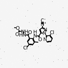 [C-]#[N+]c1cc(C(=O)Nc2c(C)cc(Cl)cc2C(=O)NNC(=O)OC)n(-c2ncccc2Cl)n1